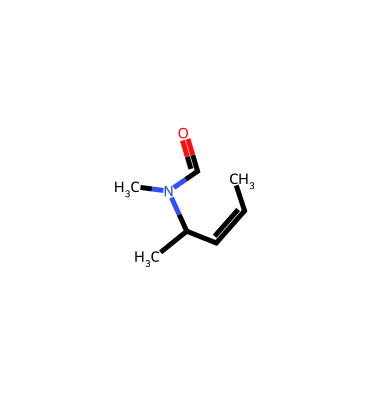 C/C=C\C(C)N(C)C=O